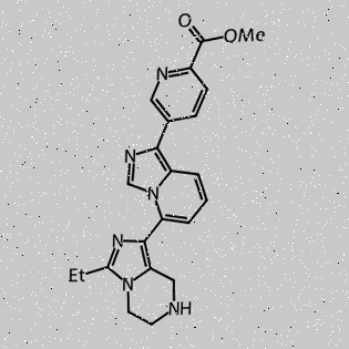 CCc1nc(-c2cccc3c(-c4ccc(C(=O)OC)nc4)ncn23)c2n1CCNC2